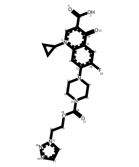 O=C(O)c1cn(C2CC2)c2cc(N3CCN(C(=O)OCCn4ccnn4)CC3)c(F)cc2c1=O